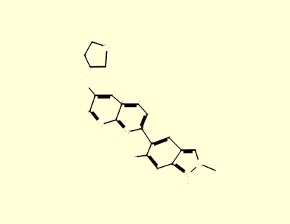 Cn1cc2cc(-c3ccc4cc(O[C@@H]5CCNC5)cnc4n3)c(O)cc2n1